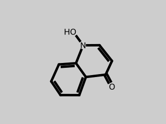 O=c1ccn(O)c2ccccc12